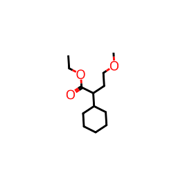 CCOC(=O)C(CCOC)C1CCCCC1